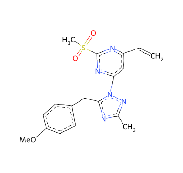 C=Cc1cc(-n2nc(C)nc2Cc2ccc(OC)cc2)nc(S(C)(=O)=O)n1